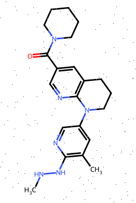 CNNc1ncc(N2CCCc3cc(C(=O)N4CCCCC4)cnc32)cc1C